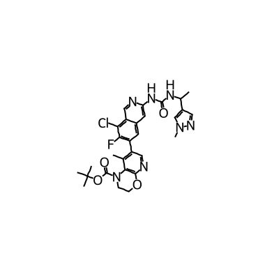 Cc1c(-c2cc3cc(NC(=O)NC(C)c4cnn(C)c4)ncc3c(Cl)c2F)cnc2c1N(C(=O)OC(C)(C)C)CCO2